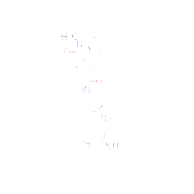 CN(C(=O)c1ccc(C(=O)Nc2ccc(N3CCC(N(C)C)C3)cc2)cc1)c1ccccc1